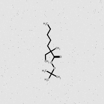 CCCCCC(C)(CC)C(=O)OOC(C)(C)C